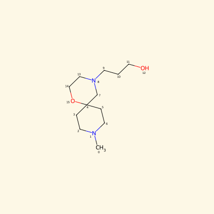 CN1CCC2(CC1)CN(CCCO)CCO2